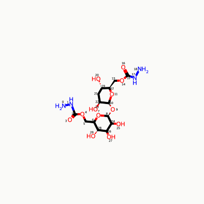 NNC(=O)OCC1O[C@H](O[C@H]2O[C@H](COC(=O)NN)[C@@H](O)C[C@@H]2O)C(O)C(O)[C@@H]1O